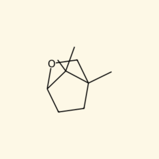 CC12CCC(OC1)C2(C)C